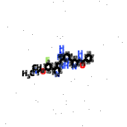 CN(C)CCOc1cc(F)cc(-c2cncc3[nH]c(-c4n[nH]c5ccc(-c6cncc(NC(=O)c7ccccc7)c6)nc45)cc23)c1